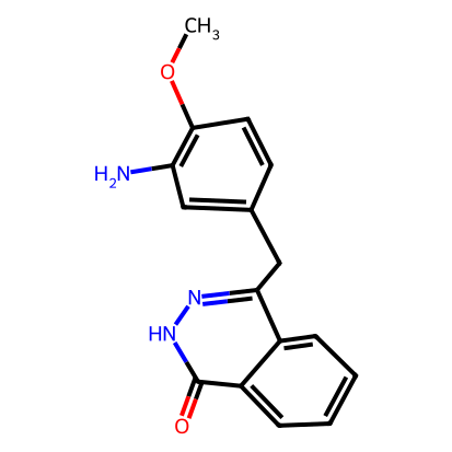 COc1ccc(Cc2n[nH]c(=O)c3ccccc23)cc1N